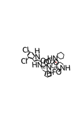 O=C(NC1CCCCC1)C(=O)C(C[C@@H]1CCCNC1=O)NC(=O)[C@H](Cc1cccc(F)c1)NC(=O)c1cc2c(Cl)cc(Cl)cc2[nH]1